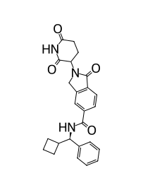 O=C1CCC(N2Cc3cc(C(=O)N[C@@H](c4ccccc4)C4CCC4)ccc3C2=O)C(=O)N1